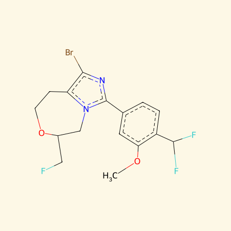 COc1cc(-c2nc(Br)c3n2CC(CF)OCC3)ccc1C(F)F